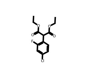 CCOC(=O)C(C(=O)OCC)c1ccc(Cl)cc1F